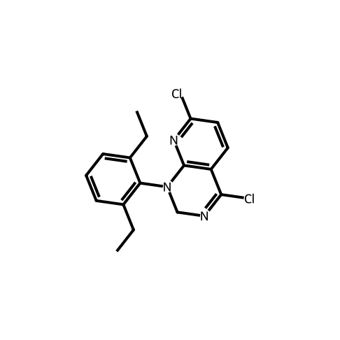 CCc1cccc(CC)c1N1CN=C(Cl)c2ccc(Cl)nc21